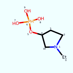 CCN1CCC(O[PH](O)(O)O)C1